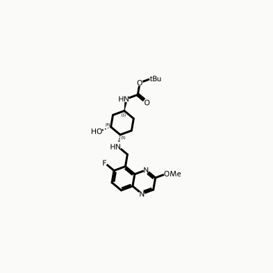 COc1cnc2ccc(F)c(CN[C@H]3CC[C@H](NC(=O)OC(C)(C)C)C[C@H]3O)c2n1